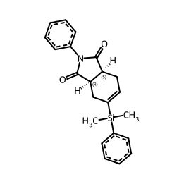 C[Si](C)(C1=CC[C@@H]2C(=O)N(c3ccccc3)C(=O)[C@@H]2C1)c1ccccc1